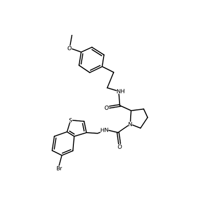 COc1ccc(CCNC(=O)C2CCCN2C(=O)NCc2csc3ccc(Br)cc23)cc1